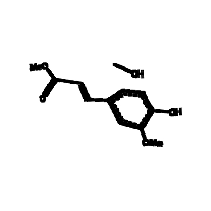 CO.COC(=O)C=Cc1ccc(O)c(OC)c1